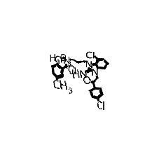 Cc1ccc(C)c(C(=O)N(C)CCCn2c(=N)n(CC(=O)c3ccc(Cl)cc3)c3cccc(Cl)c32)c1